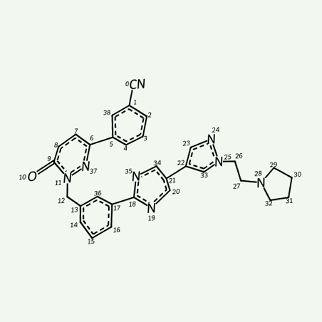 N#Cc1cccc(-c2ccc(=O)n(Cc3cccc(-c4ncc(-c5cnn(CCN6CCCC6)c5)cn4)c3)n2)c1